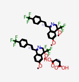 COc1ccc2c(c1)C(OC)(C(F)(F)F)CN=C2/C=C/c1ccc(C(F)(F)F)cc1.COc1ccc2c(c1)C(OC)(C(F)(F)F)CN=C2/C=C/c1ccc(C(F)(F)F)cc1.O=C(O)/C=C\C(=O)O